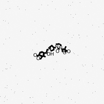 CC1=C(N2CCCN(C3CCN(C[C@H](O)c4ccc5c(c4C)COC5=O)CC3)C2=O)COC1=O